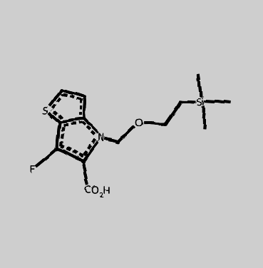 C[Si](C)(C)CCOCn1c(C(=O)O)c(F)c2sccc21